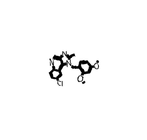 COc1ccc(Cn2c(C)nc3cnc4ccc(Cl)cc4c32)c(OC)c1